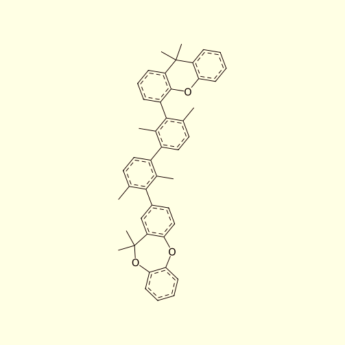 Cc1ccc(-c2ccc(C)c(-c3cccc4c3Oc3ccccc3C4(C)C)c2C)c(C)c1-c1ccc2c(c1)C(C)(C)Oc1ccccc1O2